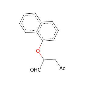 CC(=O)CC(C=O)Oc1cccc2ccccc12